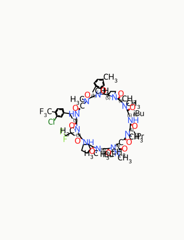 CC[C@H](C)[C@@H]1NC(=O)[C@H](CC(C)C)N(C)C(=O)C[C@@H](C(=O)N(C)C)N(C)C(=O)[C@H]([C@@H](C)CC)N(C)C(=O)C2(CCCC2)NC(=O)[C@H](CCC(F)F)N(C)C(=O)[C@H](CCc2ccc(C(F)(F)F)c(Cl)c2)NC(=O)CN(C)C(=O)[C@H](Cc2ccc(C)cc2)N(C)C(=O)[C@@H]2CCN2C(=O)[C@H](C)N(C)C1=O